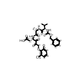 CC(C)[C@H](NC(=O)OCc1ccccc1)C(=O)N[C@@H](C)C(=O)N[C@@H](CC(=O)O)C(=O)C(=O)COc1c(Cl)cccc1Cl